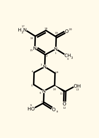 Cn1c(N2CCN(C(=O)O)[C@H](C(=O)O)C2)nc(N)cc1=O